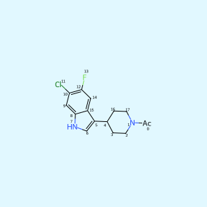 CC(=O)N1CCC(c2c[nH]c3cc(Cl)c(F)cc23)CC1